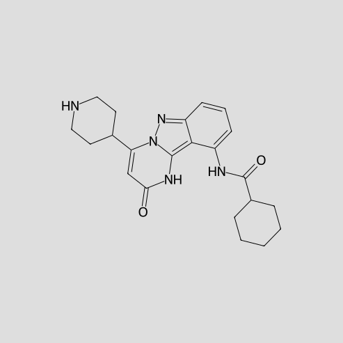 O=C(Nc1cccc2nn3c(C4CCNCC4)cc(=O)[nH]c3c12)C1CCCCC1